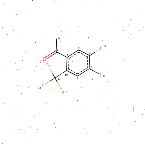 CC(=O)c1cc(F)c(I)cc1C(F)(F)F